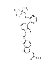 CC(C)(C)COc1ncccc1-c1cccc2c1CC[C@H]2Oc1ccc2c(c1)OC[C@H]2CC(=O)O